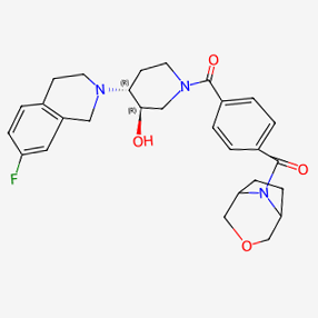 O=C(c1ccc(C(=O)N2C3CCC2COC3)cc1)N1CC[C@@H](N2CCc3ccc(F)cc3C2)[C@H](O)C1